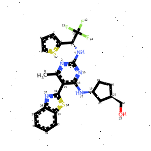 Cc1nc(N[C@H](c2cccs2)C(F)(F)F)nc(N[C@H]2CC[C@@H](CO)C2)c1-c1nc2ccccc2s1